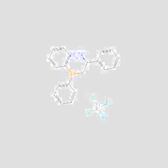 F[B-](F)(F)F.[NH3+][C@H](CP(c1ccccc1)c1ccccc1)c1ccccc1